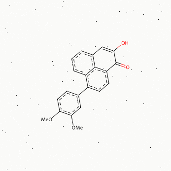 COc1ccc(-c2ccc3c4c(cccc24)C=C(O)C3=O)cc1OC